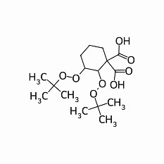 CC(C)(C)OOC1CCCC(C(=O)O)(C(=O)O)C1OOC(C)(C)C